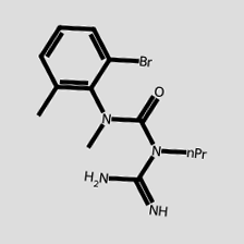 CCCN(C(=N)N)C(=O)N(C)c1c(C)cccc1Br